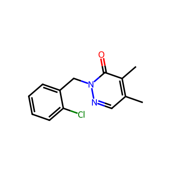 Cc1cnn(Cc2ccccc2Cl)c(=O)c1C